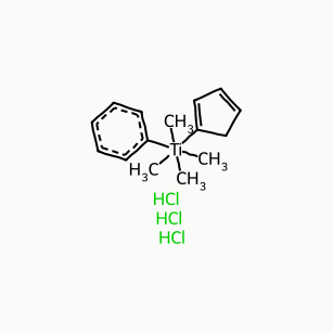 Cl.Cl.Cl.[CH3][Ti]([CH3])([CH3])([CH3])([C]1=CC=CC1)[c]1ccccc1